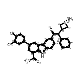 NC(=O)c1cc(-c2ccc(Cl)c(Cl)c2)cc2c1[nH]c1ccc(C(=O)C(c3ccccc3)C3CN(N)C3)cc12